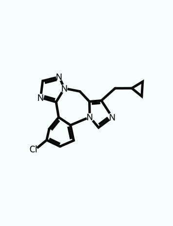 Clc1ccc2c(c1)-c1ncnn1Cc1c(CC3CC3)ncn1-2